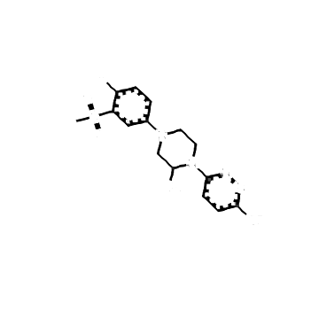 CC(C)C1CN(c2ccc(F)c(S(C)(=O)=O)c2)CCN1c1ccc(C(F)(F)F)nn1